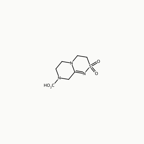 O=C(O)N1CCN2CCS(=O)(=O)N=C2C1